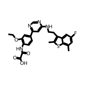 CCOc1cc(-c2cc(NCCc3c(C)sc4c(C)cc(F)cc34)ncn2)ccc1NC(=O)C(=O)O